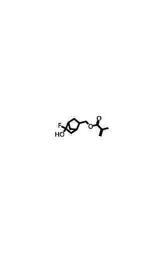 C=C(C)C(=O)OCC1CC2CC1CC2(O)F